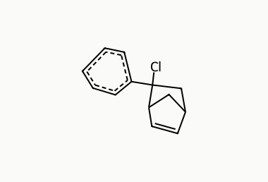 ClC1(c2ccccc2)CC2C=CC1C2